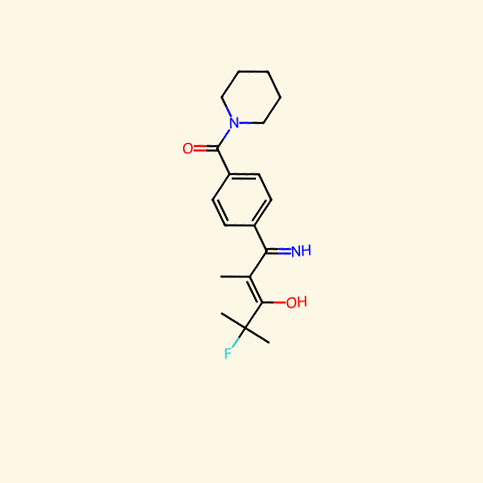 C/C(C(=N)c1ccc(C(=O)N2CCCCC2)cc1)=C(/O)C(C)(C)F